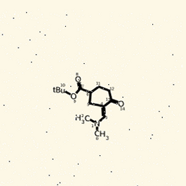 CN(C)C=C1CC(C(=O)OC(C)(C)C)CCC1=O